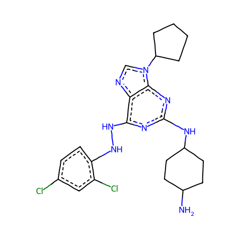 NC1CCC(Nc2nc(NNc3ccc(Cl)cc3Cl)c3ncn(C4CCCC4)c3n2)CC1